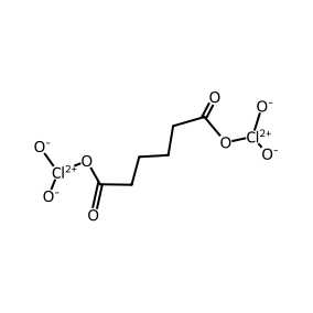 O=C(CCCCC(=O)O[Cl+2]([O-])[O-])O[Cl+2]([O-])[O-]